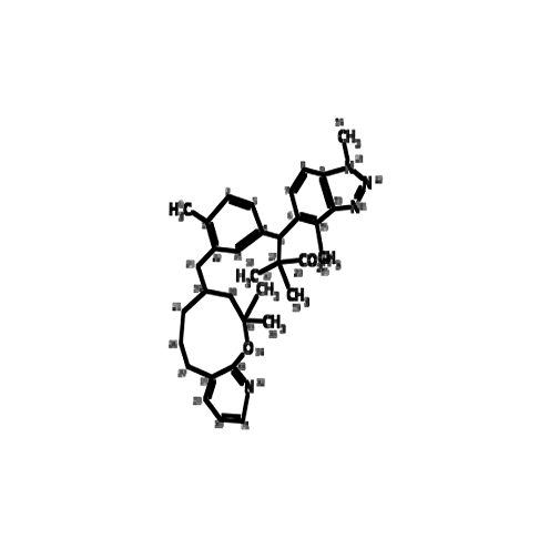 Cc1ccc(C(c2ccc3c(nnn3C)c2C)C(C)(C)C(=O)O)cc1CC1CCCc2cccnc2OC(C)(C)C1